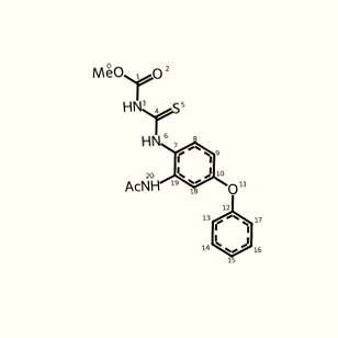 COC(=O)NC(=S)Nc1ccc(Oc2ccccc2)cc1NC(C)=O